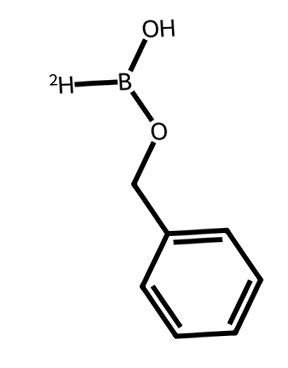 [2H]B(O)OCc1ccccc1